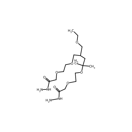 CCOCC(COCCOCC(=O)NN)CC(C)(C)OCCOCC(=O)NN